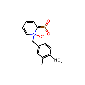 Cc1cc(C[N+]2([O-])C=CC=CC2=S(=O)=O)ccc1[N+](=O)[O-]